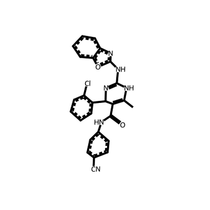 CC1=C(C(=O)Nc2ccc(C#N)cc2)C(c2ccccc2Cl)N=C(Nc2nc3ccccc3o2)N1